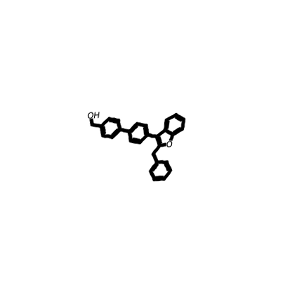 OCc1ccc(-c2ccc(-c3c(Cc4ccccc4)oc4ccccc34)cc2)cc1